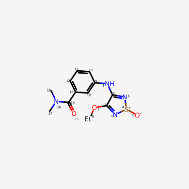 CCOc1n[s+]([O-])nc1Nc1cccc(C(=O)N(C)C)c1